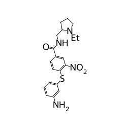 CCN1CCCC1CNC(=O)c1ccc(Sc2cccc(N)c2)c([N+](=O)[O-])c1